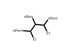 CCCCCCCCCC(C(CC)CCCCC)C(CC)CCCCC